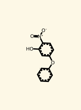 O=[N+]([O-])c1ccc(Oc2[c]cccc2)cc1O